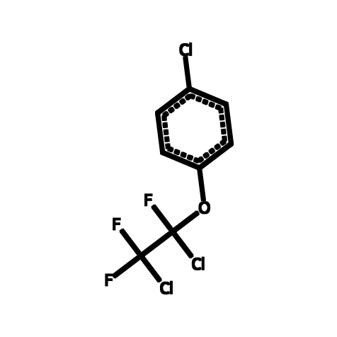 FC(F)(Cl)C(F)(Cl)Oc1ccc(Cl)cc1